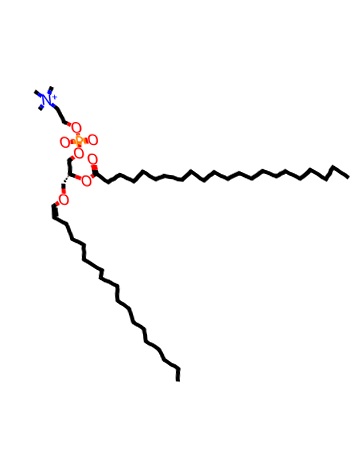 CCCCCCCCCCCCCCCC/C=C\OC[C@H](COP(=O)([O-])OCC[N+](C)(C)C)OC(=O)CCCCCCCCCCCCCCCCCCCCC